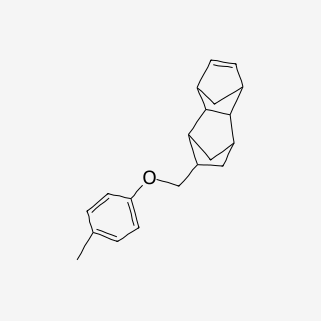 Cc1ccc(OCC2CC3CC2C2C4C=CC(C4)C32)cc1